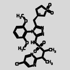 COc1cccc(OC)c1-n1c(C[C@H]2CCS(=O)(=O)C2)nnc1NS(=O)(=O)C(C)C(C)c1ncc(Cl)cn1